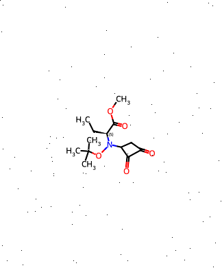 CC[C@@H](C(=O)OC)N(OC(C)(C)C)C1CC(=O)C1=O